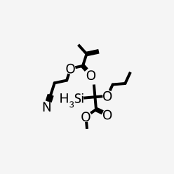 C=C(C)C(=O)OCCC#N.CCCOC(C)([SiH3])C(=O)OC